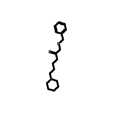 O=C(CCCCN1CCCCC1)COCc1ccccc1